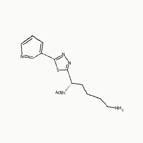 CC(=O)N[C@@H](CCCCN)c1nnc(-c2cccnc2)s1